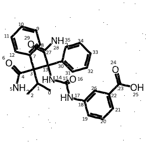 CC(C)C(C(N)=O)(c1ccccc1)C(NC(=O)Nc1cccc(C(=O)O)c1)(C(N)=O)c1ccccc1